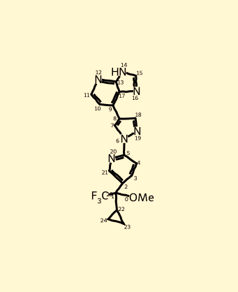 COC(c1ccc(-n2cc(-c3ccnc4[nH]cnc34)cn2)nc1)(C1CC1)C(F)(F)F